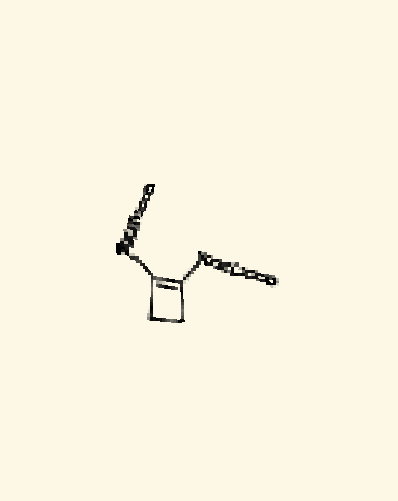 O=C=NC1=C(N=C=O)CC1